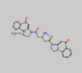 CC1C2CN(C(=O)CC(N)CC(=O)N3CCC4C3=CC(=O)c3ccccc34)C3=CC(=O)c4ccccc4[C@]312